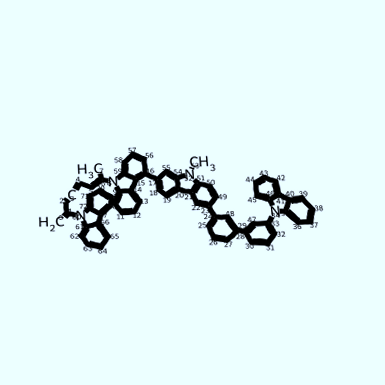 C=C(C=C=C/C=C(\C)n1c2ccccc2c2c(-c3ccc4c5cc(-c6cccc(-c7cccc(-n8c9ccccc9c9ccccc98)c7)c6)ccc5n(C)c4c3)cccc21)n1c2ccccc2c2ccccc21